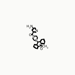 CS(=O)(=O)c1ccccc1C(c1ccccc1)N1CCN(C(=O)c2cncc(N)c2)CC1